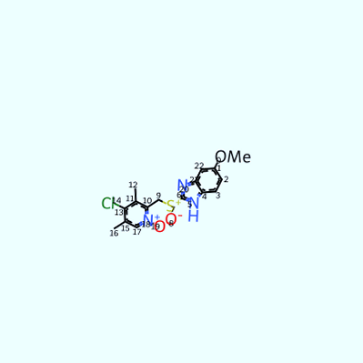 COc1ccc2[nH]c([S+]([O-])Cc3c(C)c(Cl)c(C)c[n+]3[O-])nc2c1